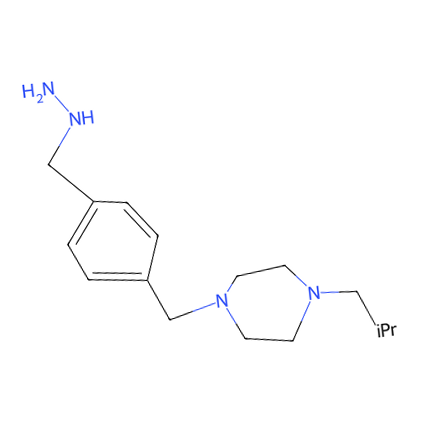 CC(C)CN1CCN(Cc2ccc(CNN)cc2)CC1